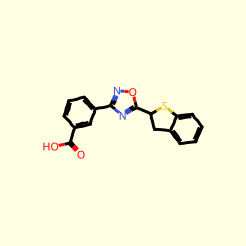 O=C(O)c1cccc(-c2noc(C3Cc4ccccc4S3)n2)c1